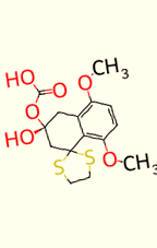 COc1ccc(OC)c2c1C[C@@](O)(OC(=O)O)CC21SCCS1